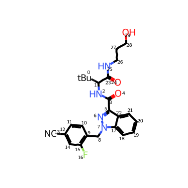 CC(C)(C)C(NC(=O)c1nn(Cc2ccc(C#N)cc2F)c2ccccc12)C(=O)NCCCO